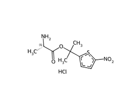 C[C@H](N)C(=O)OC(C)(C)c1ccc([N+](=O)[O-])s1.Cl